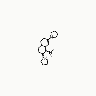 CN(C)C1=C2C=C(N3CCCC3)CCC2CCC1=[N+]1CCCC1